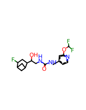 O=C(NCc1ccnc(OC(F)F)c1)NCC(O)C1CC(F)C2CC1C2